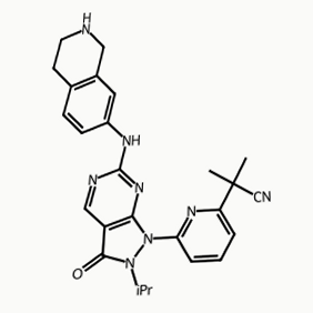 CC(C)n1c(=O)c2cnc(Nc3ccc4c(c3)CNCC4)nc2n1-c1cccc(C(C)(C)C#N)n1